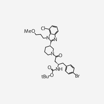 COCCCn1c([C@@H]2CCCN(C(=O)C[C@@H](Cc3ccc(Br)cc3)NC(=O)OC(C)(C)C)C2)nc2cccc(Cl)c21